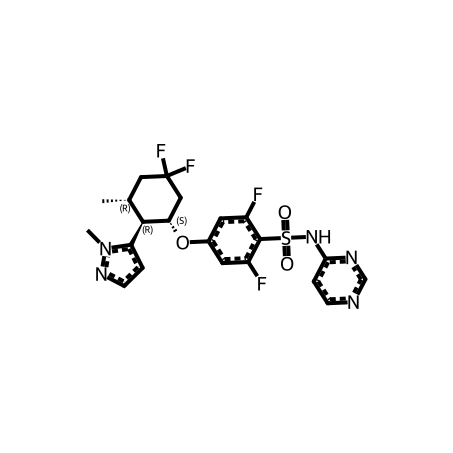 C[C@@H]1CC(F)(F)C[C@H](Oc2cc(F)c(S(=O)(=O)Nc3ccncn3)c(F)c2)[C@H]1c1ccnn1C